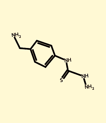 NCc1ccc(NC(=S)NN)cc1